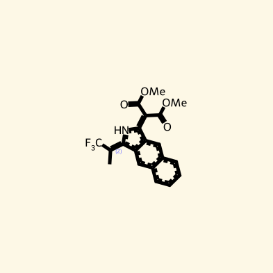 COC(=O)C(C(=O)OC)=c1[nH]/c(=C(/C)C(F)(F)F)c2cc3ccccc3cc12